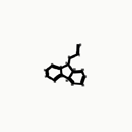 C=CCn1c2c[c]ccc2c2ccccc21